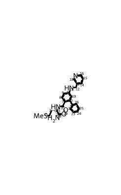 CSCC[C@H](NC(=O)c1ccc(NCc2cccnc2)cc1-c1ccccc1)C(N)=O